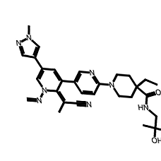 C=NN1C=C(c2cnn(C)c2)C=C(c2ccc(N3CCC(CC)(C(=O)NCC(C)(C)O)CC3)nc2)/C1=C(/C)C#N